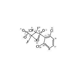 O=S(=O)(Cl)C(F)(F)C(F)(F)S(=O)(=O)c1c(Cl)cccc1Cl